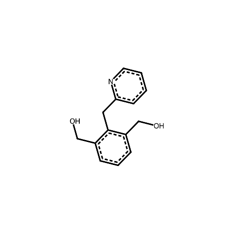 OCc1cccc(CO)c1Cc1ccccn1